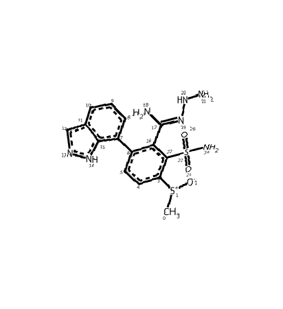 C[S+]([O-])c1ccc(-c2cccc3cn[nH]c23)c(/C(N)=N/NN)c1S(N)(=O)=O